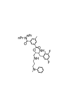 CCCN(CCC)C(=O)c1cc(C)cc(C(=O)O[C@H](CNCCCN(C)c2ccccc2)[C@@H](N)Cc2cc(F)cc(F)c2)c1